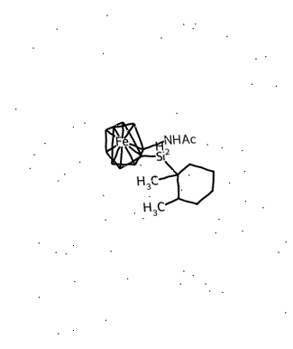 CC(=O)N[C]12[CH]3[CH]4[CH]5[CH]1[Fe]45321678[CH]2[CH]1[CH]6[C]7([SiH2]C1(C)CCCCC1C)[CH]28